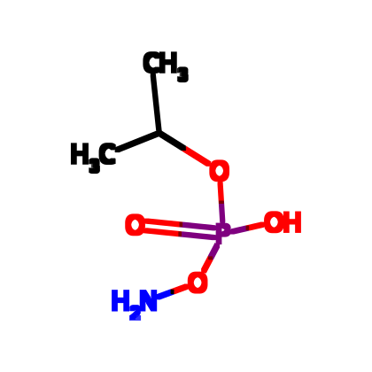 CC(C)OP(=O)(O)ON